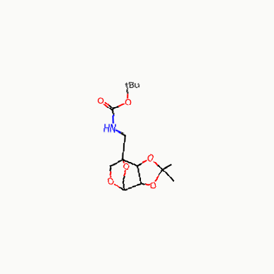 CC(C)(C)OC(=O)NCC12COC(CO1)C1OC(C)(C)OC12